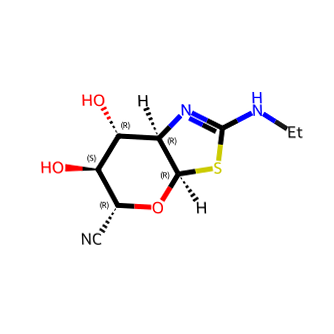 CCNC1=N[C@@H]2[C@@H](O)[C@H](O)[C@@H](C#N)O[C@@H]2S1